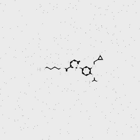 O=C(OCCCCO)c1ccc(=O)n(-c2ccc(OC(F)F)c(OCC3CC3)c2)n1